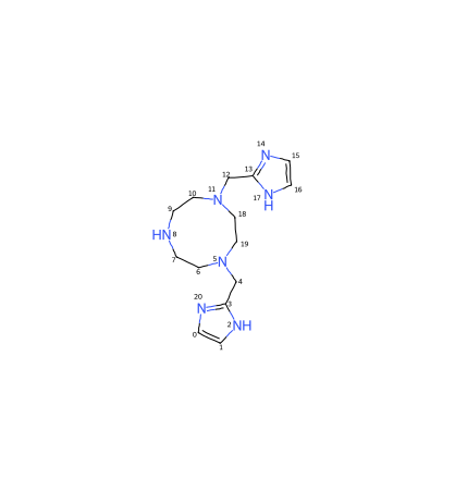 c1c[nH]c(CN2CCNCCN(Cc3ncc[nH]3)CC2)n1